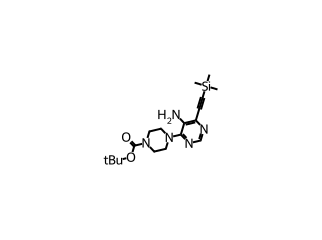 CC(C)(C)OC(=O)N1CCN(c2ncnc(C#C[Si](C)(C)C)c2N)CC1